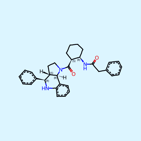 O=C(Cc1ccccc1)N[C@@H]1CCCC[C@@H]1C(=O)N1CC[C@H]2[C@H](c3ccccc3)Nc3ccccc3[C@@H]21